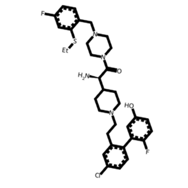 CCSc1cc(F)ccc1CN1CCN(C(=O)[C@H](N)C2CCN(CCc3cc(Cl)ccc3-c3cc(O)ccc3F)CC2)CC1